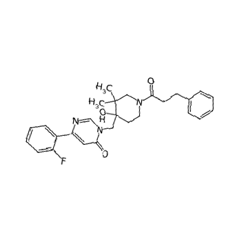 CC1(C)CN(C(=O)CCc2ccccc2)CCC1(O)Cn1cnc(-c2ccccc2F)cc1=O